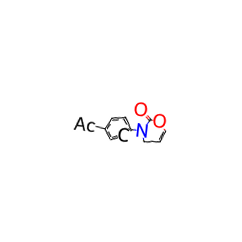 CC(=O)c1ccc(N2CC=COC2=O)cc1